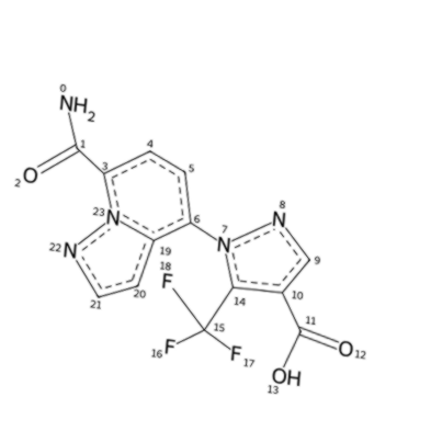 NC(=O)c1ccc(-n2ncc(C(=O)O)c2C(F)(F)F)c2ccnn12